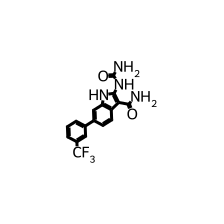 NC(=O)Nc1[nH]c2cc(-c3cccc(C(F)(F)F)c3)ccc2c1C(N)=O